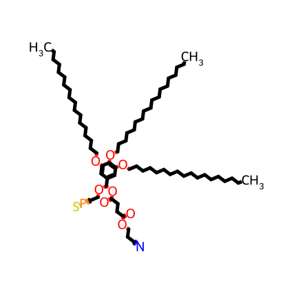 CCCCCCCCCCCCCCCCCCOc1cc(C(OCC#P=S)OC(=O)CCC(=O)OCCC#N)cc(OCCCCCCCCCCCCCCCCCC)c1OCCCCCCCCCCCCCCCCCC